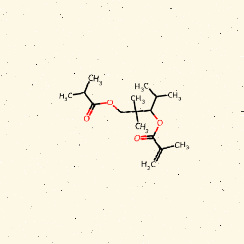 C=C(C)C(=O)OC(C(C)C)C(C)(C)COC(=O)C(C)C